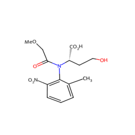 COCC(=O)N(c1c(C)cccc1[N+](=O)[O-])[C@@H](CCO)C(=O)O